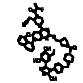 C=C(F)C(=O)N1CCN(c2nc(OCC3CCN(C(=O)C4CCN(Cc5ccc(-n6c(O)nnc6-c6cc(CC)c(O)cc6O)cc5)CC4)C3)nc3c2CCN(c2cccc4cccc(Cl)c24)C3)CC1CC#N